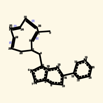 CC1=C\C(Cc2nnc3ccc(-c4cccnc4)nn23)C/C=C/N=C/C=C\1